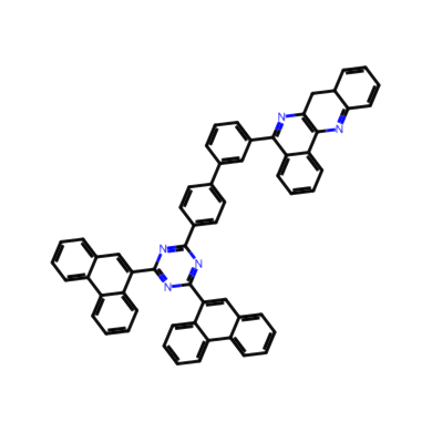 C1=CC2=Nc3c(nc(-c4cccc(-c5ccc(-c6nc(-c7cc8ccccc8c8ccccc78)nc(-c7cc8ccccc8c8ccccc78)n6)cc5)c4)c4ccccc34)CC2C=C1